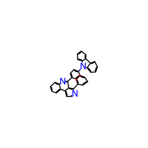 c1ccc(-c2nccc3c2c(-c2ccc(-n4c5ccccc5c5ccccc54)cc2)nc2ccccc23)cc1